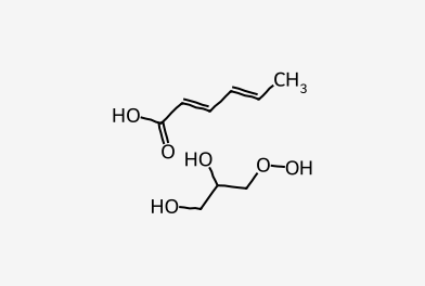 C/C=C/C=C/C(=O)O.OCC(O)COO